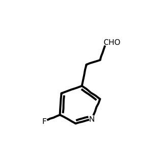 O=CCCc1cncc(F)c1